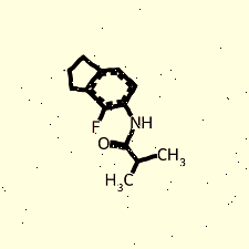 CC(C)C(=O)Nc1ccc2c(c1F)C[CH]C2